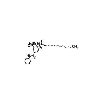 CCCCCCCCCCCCNS(=O)(=O)C1(OC)C=CC(C(=O)Nc2ccccc2)C=C1[N+](=O)[O-]